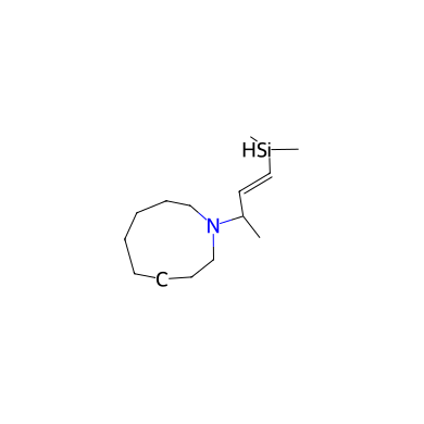 CC(C=C[SiH](C)C)N1CCCCCCCC1